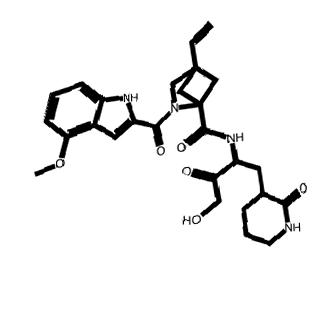 C=CC12CN(C(=O)c3cc4c(OC)cccc4[nH]3)C(C(=O)NC(CC3CCCNC3=O)C(=O)CO)(C1)C2